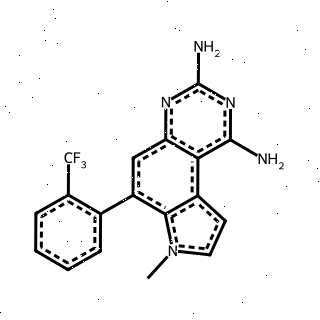 Cn1ccc2c3c(N)nc(N)nc3cc(-c3ccccc3C(F)(F)F)c21